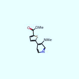 CNc1cnccc1-c1ccc(C(=O)OC)s1